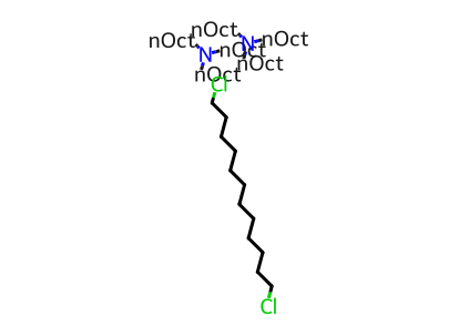 CCCCCCCCN(CCCCCCCC)CCCCCCCC.CCCCCCCCN(CCCCCCCC)CCCCCCCC.ClCCCCCCCCCCCCCl